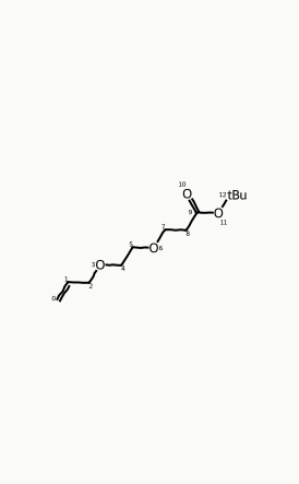 C=CCOCCOCCC(=O)OC(C)(C)C